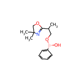 CC(COB(O)c1ccccc1)C1=NC(C)(C)CO1